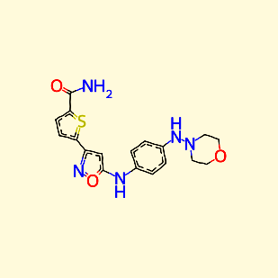 NC(=O)c1ccc(-c2cc(Nc3ccc(NN4CCOCC4)cc3)on2)s1